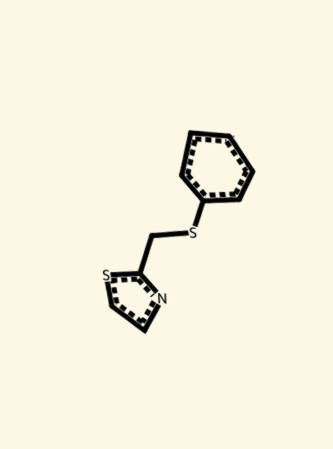 [c]1ccc(SCc2nccs2)cc1